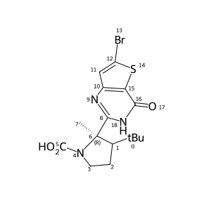 CC(C)(C)C1CCN(C(=O)O)[C@@]1(C)c1nc2cc(Br)sc2c(=O)[nH]1